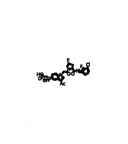 CC(=O)c1cn(CC(=O)N2C[C@H](F)C[C@H]2C(=O)NCc2cccc(Cl)c2F)c2ccc(OCP(=O)(O)O)cc12